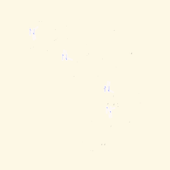 c1ccc(-c2ccc3ccc4ccc(-c5ccc6nc(-c7ccncc7)c7cccc(-c8ccccc8)c7c6c5)nc4c3n2)cc1